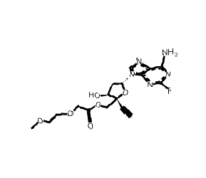 C#C[C@]1(COC(=O)COCCOC)O[C@@H](n2cnc3c(N)nc(F)nc32)C[C@@H]1O